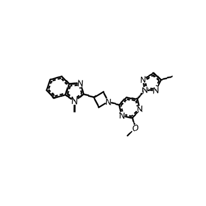 COc1nc(N2CC(c3nc4ccccc4n3C)C2)cc(-n2ncc(C)n2)n1